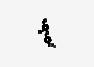 Cc1ccc(COc2ccc(C=O)cc2Br)cc1